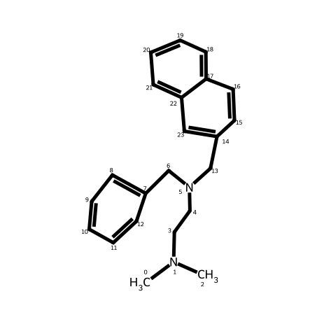 CN(C)CCN(Cc1ccccc1)Cc1ccc2ccccc2c1